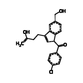 C=C(O)CCC1=CC(C(=O)c2ccc(Cl)cc2)c2ccc(CO)cc21